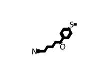 CSc1ccc(C(=O)CCCCC#N)cc1